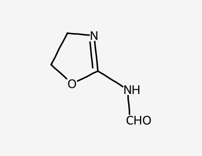 O=CNC1=NCCO1